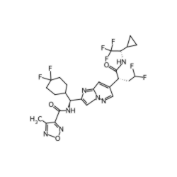 Cc1nonc1C(=O)N[C@H](c1cn2ncc([C@@H](CC(F)F)C(=O)N[C@@H](C3CC3)C(F)(F)F)cc2n1)C1CCC(F)(F)CC1